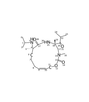 CC(C)N[C@]1(C)CCC/C=C\COC(=O)N(C)C[C@@](C)(C(=O)C(C)C)NCC1=O